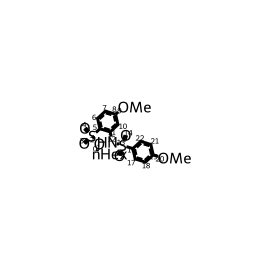 CCCCCCOS(=O)(=O)c1ccc(OC)cc1NS(=O)(=O)c1ccc(OC)cc1